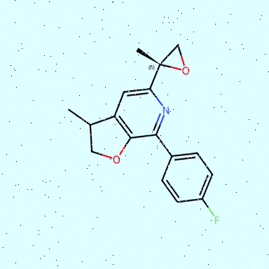 CC1COc2c1cc([C@]1(C)CO1)nc2-c1ccc(F)cc1